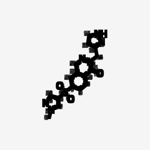 Cn1cc(S(=O)(=O)c2ccc3c(=O)n(Cc4cc[nH]n4)ncc3c2)cn1